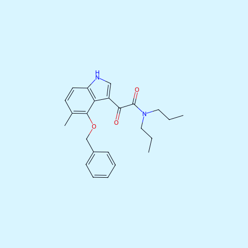 CCCN(CCC)C(=O)C(=O)c1c[nH]c2ccc(C)c(OCc3ccccc3)c12